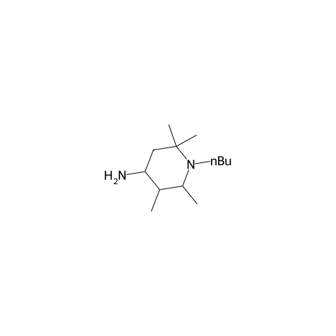 CCCCN1C(C)C(C)C(N)CC1(C)C